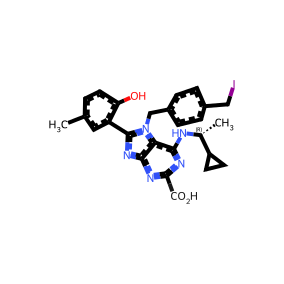 Cc1ccc(O)c(-c2nc3nc(C(=O)O)nc(N[C@H](C)C4CC4)c3n2Cc2ccc(CI)cc2)c1